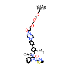 CNCCOCCOCCOCCC(=O)N1CCN(c2ccc(-c3ccc(CN(C=O)C(C(=O)Nc4nccs4)c4ccccc4)c(C)c3)cc2)CC1